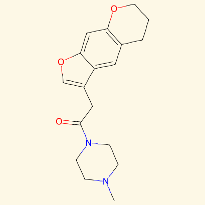 CN1CCN(C(=O)Cc2coc3cc4c(cc23)CCCO4)CC1